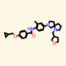 Cc1cc(N2CCC3(CCCN3CC3CCOC3)C2)ccc1NC(=O)c1ccc(OCC2CC2)cc1